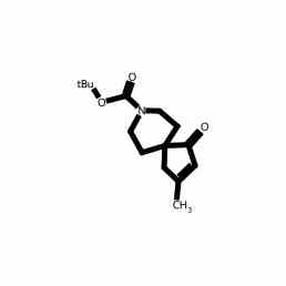 CC1=CC(=O)C2(CCN(C(=O)OC(C)(C)C)CC2)C1